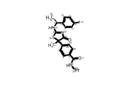 CC(C)NC(=O)c1ccc(C2(C)SC(N[C@@H](C)c3ccc(F)cc3)=NC2=O)cc1